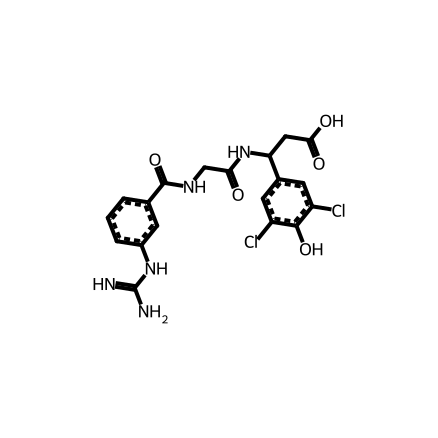 N=C(N)Nc1cccc(C(=O)NCC(=O)NC(CC(=O)O)c2cc(Cl)c(O)c(Cl)c2)c1